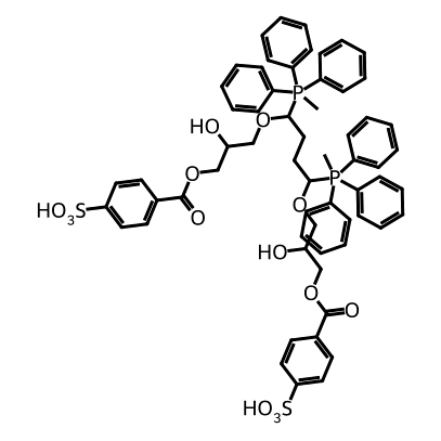 CP(c1ccccc1)(c1ccccc1)(c1ccccc1)C(CCC(OCC(O)COC(=O)c1ccc(S(=O)(=O)O)cc1)P(C)(c1ccccc1)(c1ccccc1)c1ccccc1)OCC(O)COC(=O)c1ccc(S(=O)(=O)O)cc1